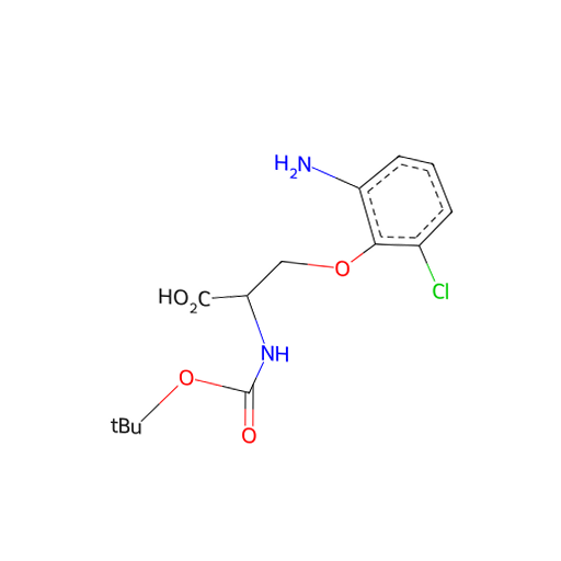 CC(C)(C)OC(=O)NC(COc1c(N)cccc1Cl)C(=O)O